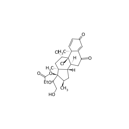 CCC(=O)O[C@]1(C(=O)CO)[C@H](C)C[C@H]2[C@@H]3CC(=O)C4=CC(=O)C=C[C@]4(C)[C@@]3(Cl)[C@@H](Cl)C[C@@]21C